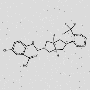 O=C(O)c1cc(Cl)ccc1NCN1C[C@H]2C[C@@H](c3ccccc3C(F)(F)F)C[C@H]2C1